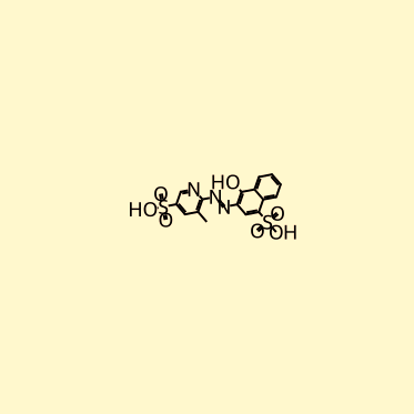 Cc1cc(S(=O)(=O)O)cnc1N=Nc1cc(S(=O)(=O)O)c2ccccc2c1O